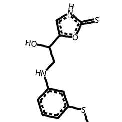 CSc1cccc(NCC(O)c2c[nH]c(=S)o2)c1